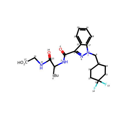 CC(C)(C)C(NC(=O)c1nn(CC2CCC(F)(F)CC2)c2ccccc12)C(=O)NCC(=O)O